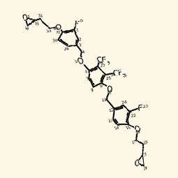 Fc1cc(COc2ccc(OCc3ccc(OCCC4CO4)c(F)c3)c(C(F)(F)F)c2C(F)(F)F)ccc1OCCC1CO1